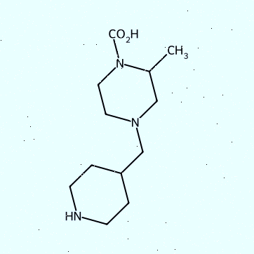 CC1CN(CC2CCNCC2)CCN1C(=O)O